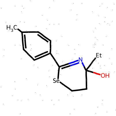 CCC1(O)CC[Se]C(c2ccc(C)cc2)=N1